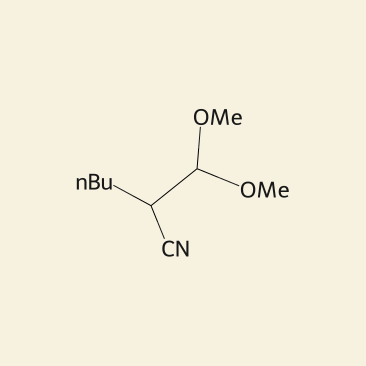 CCCCC(C#N)C(OC)OC